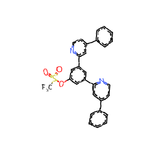 O=S(=O)(Oc1cc(-c2cc(-c3ccccc3)ccn2)cc(-c2cc(-c3ccccc3)ccn2)c1)C(F)(F)F